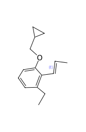 C/C=C/c1c(CC)cccc1OCC1CC1